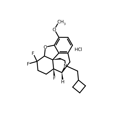 COc1ccc2c3c1OC1C(F)(F)CC[C@@]4(F)[C@@H](C2)N(CC2CCC2)CC[C@]314.Cl